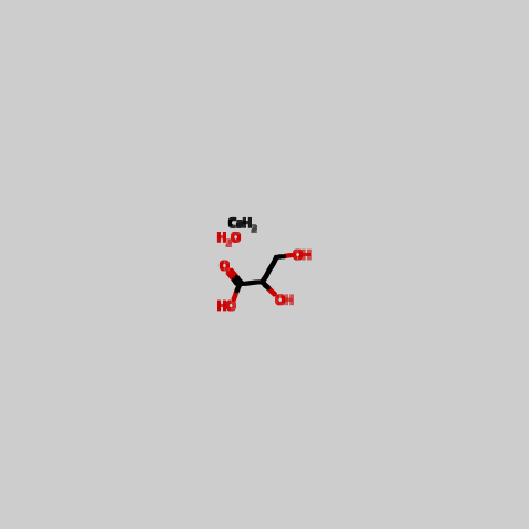 O.O=C(O)C(O)CO.[CaH2]